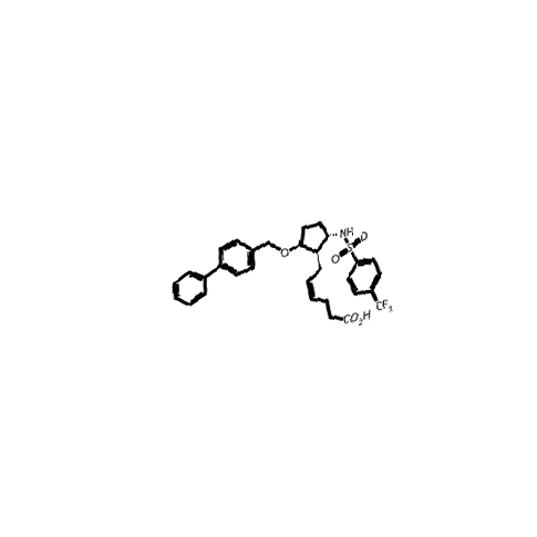 O=C(O)CC/C=C\C[C@@H]1[C@@H](NS(=O)(=O)c2ccc(C(F)(F)F)cc2)CC[C@@H]1OCc1ccc(-c2ccccc2)cc1